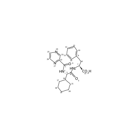 O=C(N[C@H](C(=O)N[C@@H](Cc1ccccc1)C(=O)O)C1CCCCC1)c1cnccn1